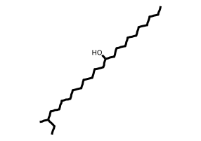 CCCCCCCCCCC(O)CCCCCCCCCCC(C)CC